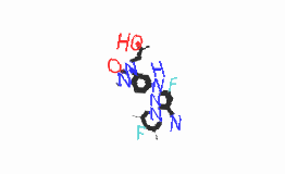 C[C@H](O)CCn1c(=O)n(C)c2ccc(Nc3nc(N4C[C@@H](C)C(F)[C@@H](C)C4)c(C#N)cc3F)cc21